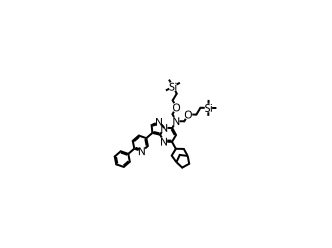 C[Si](C)(C)CCOCN(COCC[Si](C)(C)C)c1cc(C2CC3CCC(C3)C2)nc2c(-c3ccc(-c4ccccc4)nc3)cnn12